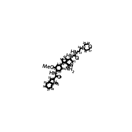 COc1cc(-c2csc3c(NC(=O)NCCN4CCOCC4)cnc(N)c23)ccc1NC(=O)c1cc2ccccc2n1C